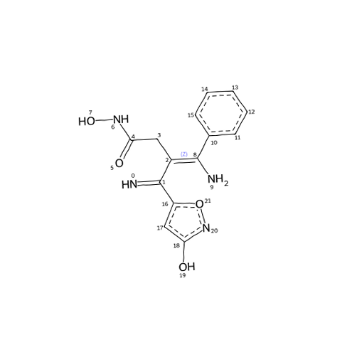 N=C(/C(CC(=O)NO)=C(\N)c1ccccc1)c1cc(O)no1